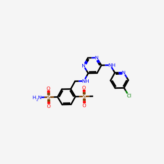 CS(=O)(=O)c1ccc(S(N)(=O)=O)cc1CNc1cc(Nc2ccc(Cl)cn2)ncn1